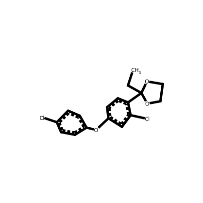 CCC1(c2ccc(Oc3ccc(Cl)cc3)cc2Cl)OCCO1